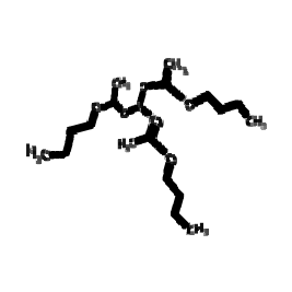 CCCCOC(C)OP(OC(C)OCCCC)OC(C)OCCCC